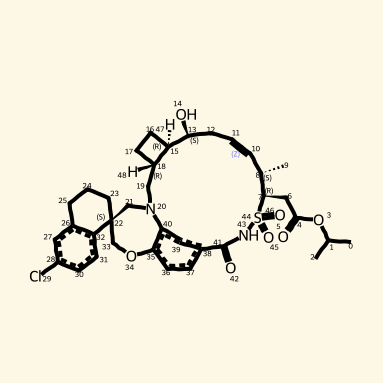 CC(C)OC(=O)C[C@@H]1[C@@H](C)/C=C\C[C@H](O)[C@@H]2CC[C@H]2CN2C[C@@]3(CCCc4cc(Cl)ccc43)COc3ccc(cc32)C(=O)NS1(=O)=O